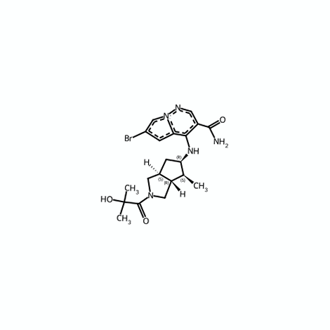 C[C@H]1[C@@H]2CN(C(=O)C(C)(C)O)C[C@H]2C[C@H]1Nc1c(C(N)=O)cnn2cc(Br)cc12